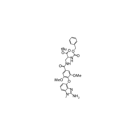 COc1cc(C(=O)NCC(NC(=O)OCc2ccccc2)C(=O)OC(C)(C)C)cc(OC)c1Oc1cccc2c1nc(N)n2C